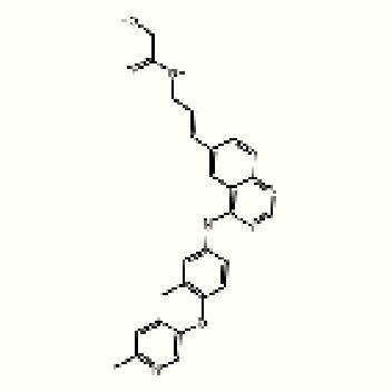 Cc1ccc(Oc2ccc(Nc3ncnc4ccc(/C=C/CNC(=O)CO)cc34)cc2C)cn1